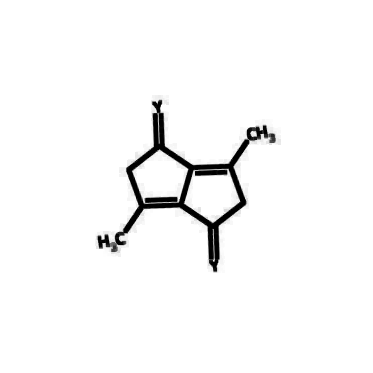 CC1=C2[C](=[Y])CC(C)=C2[C](=[Y])C1